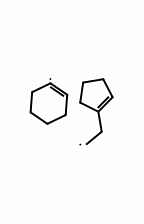 [CH2]CC1=CCCC1.[C]1=CCCCC1